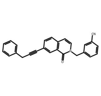 N#Cc1cccc(Cn2ccc3ccc(C#CCc4ccccc4)cc3c2=O)c1